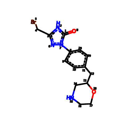 O=c1[nH]c(CBr)nn1-c1ccc(CC2CNCCO2)cc1